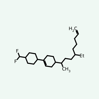 C=CCCCC(CC)CCC(C)C1CC=C(C2CCC(C(F)F)CC2)CC1